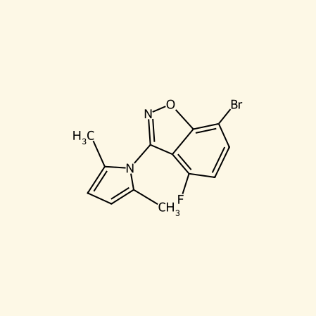 Cc1ccc(C)n1-c1noc2c(Br)ccc(F)c12